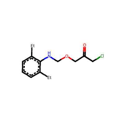 CCc1cccc(CC)c1NCOCC(=O)CCl